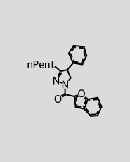 CCCCCC1=NN(C(=O)c2cc3ccccc3o2)CC1c1ccccc1